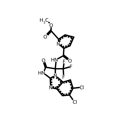 COC(=O)c1cccc(C(=O)NC2(C(F)(F)F)C(=O)Nc3nc4cc(Cl)c(Cl)cc4n32)n1